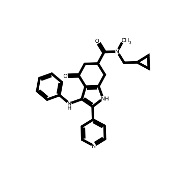 CN(CC1CC1)C(=O)C1CC(=O)c2c([nH]c(-c3ccncc3)c2Nc2ccccc2)C1